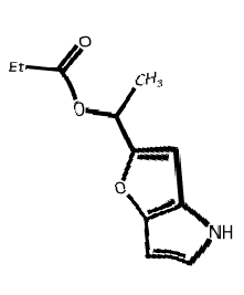 CCC(=O)OC(C)c1cc2[nH]ccc2o1